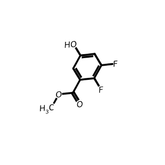 COC(=O)c1cc(O)cc(F)c1F